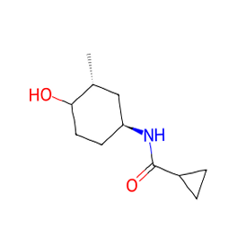 C[C@@H]1C[C@@H](NC(=O)C2CC2)CCC1O